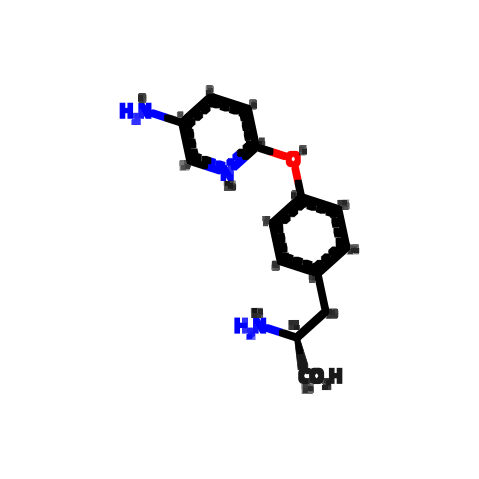 Nc1ccc(Oc2ccc(C[C@H](N)C(=O)O)cc2)nc1